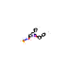 CC(C)(C)c1ccc(C(Cc2ccc(C(=O)NCC[SH](=O)=O)cc2)c2cc(-c3cccc(-c4ccc(C#N)cc4)c3)on2)cc1